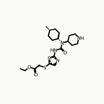 CCOC(=O)CSc1cnc(NC(=O)N(C2CCNCC2)[C@H]2CC[C@H](C)CC2)s1